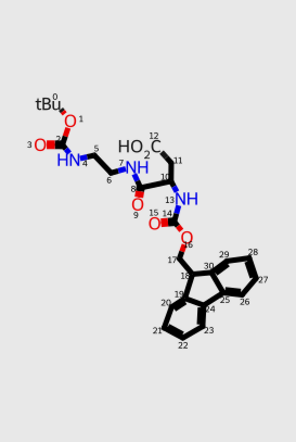 CC(C)(C)OC(=O)NCCNC(=O)C(CC(=O)O)NC(=O)OCC1c2ccccc2-c2ccccc21